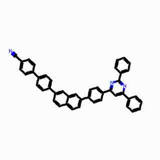 N#Cc1ccc(-c2ccc(-c3ccc4ccc(-c5ccc(-c6cc(-c7ccccc7)nc(-c7ccccc7)n6)cc5)cc4c3)cc2)cc1